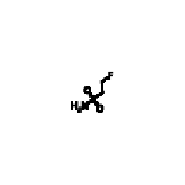 NS(=O)(=O)CCF